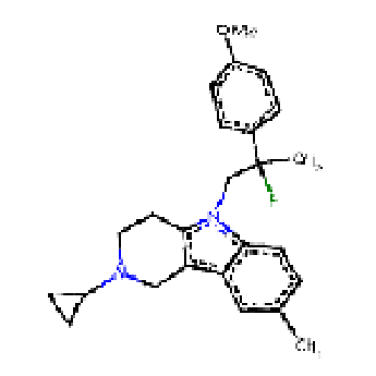 COc1ccc(C(C)(F)Cn2c3c(c4cc(C)ccc42)CN(C2CC2)CC3)cc1